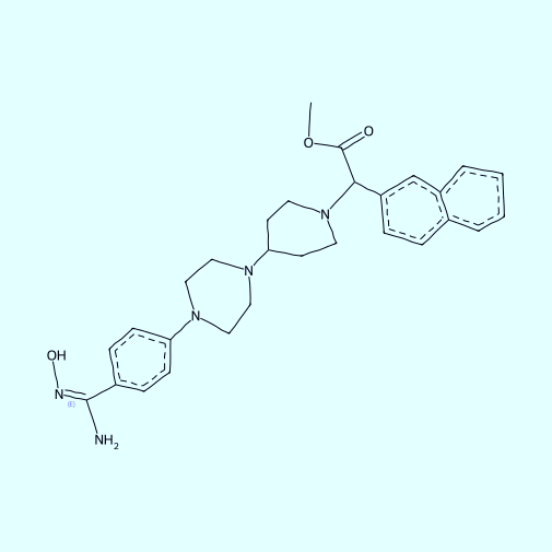 COC(=O)C(c1ccc2ccccc2c1)N1CCC(N2CCN(c3ccc(/C(N)=N\O)cc3)CC2)CC1